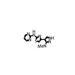 CNc1n[nH]cc1-c1csc(Nc2ncccn2)n1